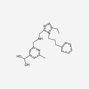 CCc1cnc(CNCc2cc(C(O)O)cc(C)n2)n1CCCc1ccccc1